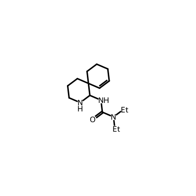 CCN(CC)C(=O)NC1NCCCC12C=CCCC2